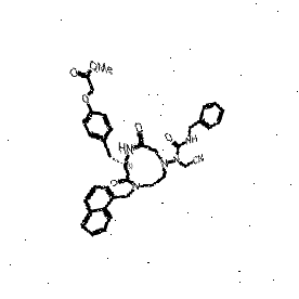 COC(=O)COc1ccc(C[C@@H]2NC(=O)CN(N(CC#N)C(=O)NCc3ccccc3)CCN(Cc3cccc4ccccc34)C2=O)cc1